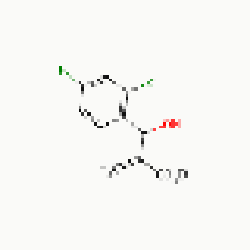 C=C(C(=O)OCC)C(O)c1ccc(F)cc1Cl